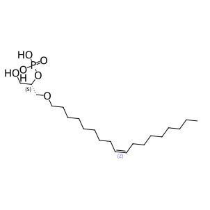 CCCCCCCC/C=C\CCCCCCCCOC[C@H](CO)OP(=O)(O)O